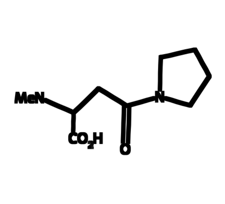 CNC(CC(=O)N1CCCC1)C(=O)O